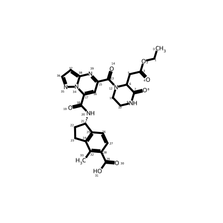 CCOC(=O)CC1C(=O)NCCN1C(=O)c1cc(C(=O)N[C@H]2CCc3c2ccc(C(=O)O)c3C)n2nccc2n1